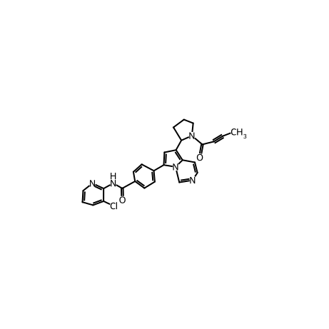 CC#CC(=O)N1CCCC1c1cc(-c2ccc(C(=O)Nc3ncccc3Cl)cc2)n2cnccc12